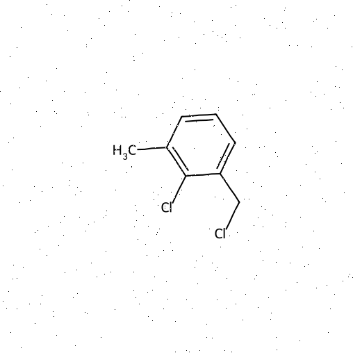 Cc1cccc(CCl)c1Cl